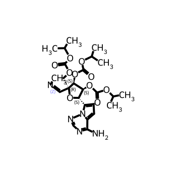 C/N=C\[C@]1(COC(=O)OC(C)C)O[C@@H](c2ccc3c(N)ncnn23)[C@H](OC(=O)OC(C)C)[C@@H]1OC(=O)OC(C)C